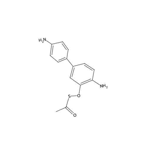 CC(=O)SOc1cc(-c2ccc(N)cc2)ccc1N